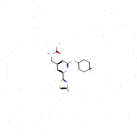 COC(=O)N(C)Cc1cc(NC2CCC(F)(F)CC2)nc(-c2nc(C)cs2)c1